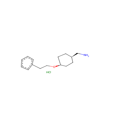 Cl.NC[C@H]1CC[C@@H](OCCc2ccccc2)CC1